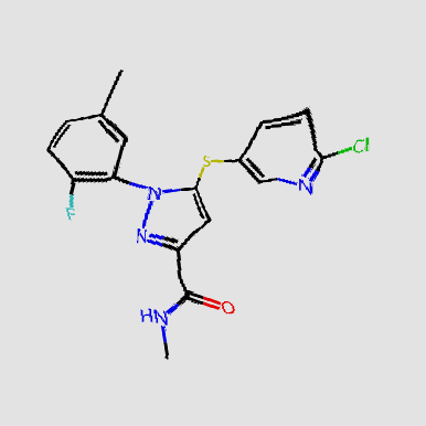 CNC(=O)c1cc(Sc2ccc(Cl)nc2)n(-c2cc(C)ccc2F)n1